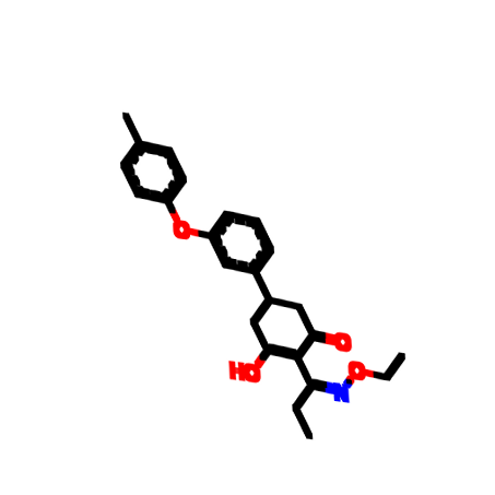 CCO/N=C(/CC)C1=C(O)CC(c2cccc(Oc3ccc(C)cc3)c2)CC1=O